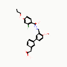 CCCOc1ccc(C(=O)NCc2cc(-c3cccc(CC(=O)O)c3)ccc2OC)c(Cl)c1